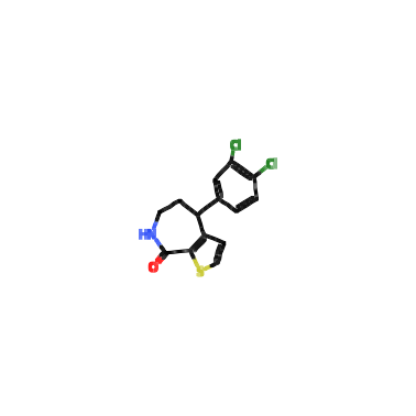 O=C1NCCC(c2ccc(Cl)c(Cl)c2)c2ccsc21